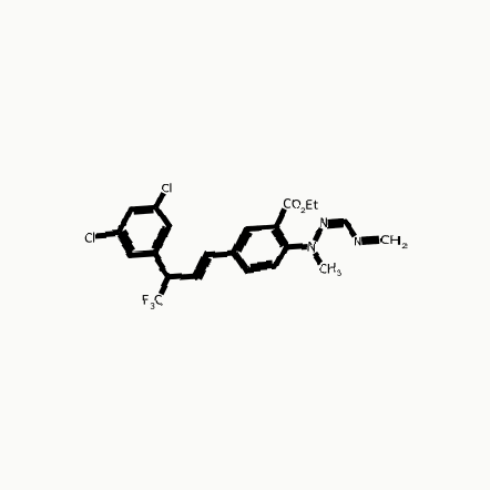 C=N/C=N\N(C)c1ccc(/C=C/C(c2cc(Cl)cc(Cl)c2)C(F)(F)F)cc1C(=O)OCC